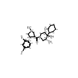 CCN1C[C@@H](C(=O)N2C[C@@H](C)C(O)(C3CCCCC3)[C@@H](C)C2)[C@H](c2ccc(F)cc2F)C1